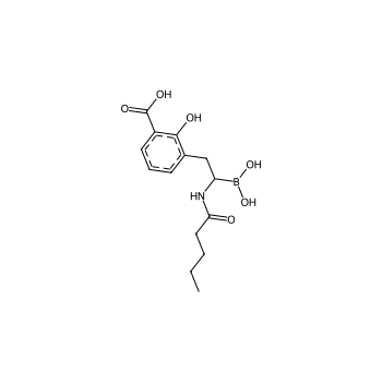 CCCCC(=O)NC(Cc1cccc(C(=O)O)c1O)B(O)O